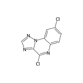 Clc1ccc2nc(Cl)c3ncnn3c2c1